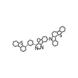 c1cc(-c2ncnc3c2oc2ccc(-n4c5ccccc5c5c6sc7ccccc7c6ccc54)cc23)cc(-c2cccc3c2sc2ccccc23)c1